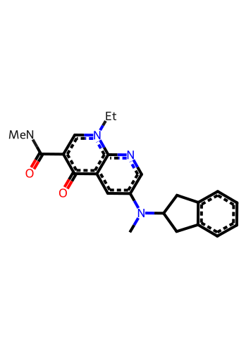 CCn1cc(C(=O)NC)c(=O)c2cc(N(C)C3Cc4ccccc4C3)cnc21